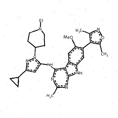 CCN1CCC(n2nc(C3CC3)cc2Nc2nc(C)nc3[nH]c4cc(-c5c(C)noc5C)c(OC)cc4c23)CC1